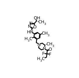 CCC(F)(F)C(=O)N1CCN(Cc2cc(C)cc(Nc3nnc([C@@H](C)O)o3)c2C)C[C@@H]1C